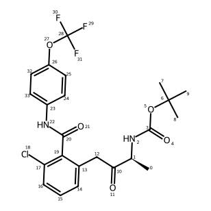 C[C@H](NC(=O)OC(C)(C)C)C(=O)Cc1cccc(Cl)c1C(=O)Nc1ccc(OC(F)(F)F)cc1